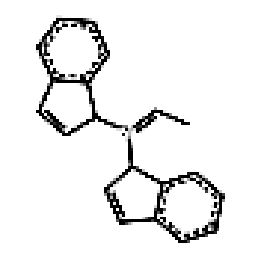 C[CH]=[Zr]([CH]1C=Cc2ccccc21)[CH]1C=Cc2ccccc21